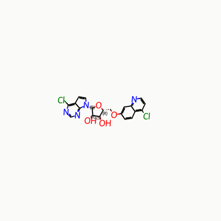 O[C@@H]1[C@H](O)[C@@H](COc2ccc3c(Cl)ccnc3c2)O[C@H]1n1ccc2c(Cl)ncnc21